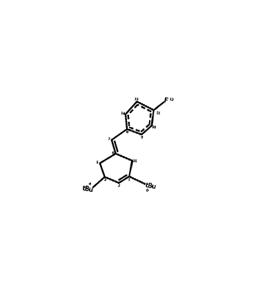 CC(C)(C)C1=CC(C(C)(C)C)CC(=Cc2ccc(F)cc2)C1